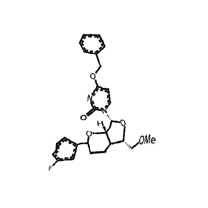 COC[C@H]1O[C@@H](n2ccc(OCc3ccccc3)nc2=O)[C@H]2OC(c3cccc(F)c3)CCC12